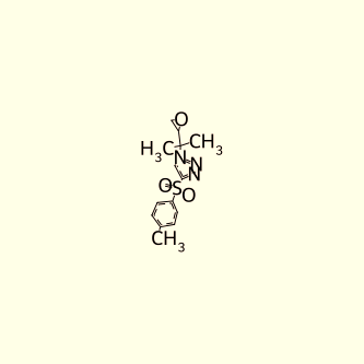 Cc1ccc(S(=O)(=O)c2cn(C(C)(C)C3CO3)nn2)cc1